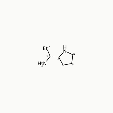 CCC(N)[C@H]1CCCN1